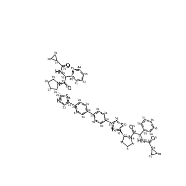 O=C(NC(C(=O)N1CCC[C@H]1c1nc(-c2ccc(-c3ccc(-c4cnc([C@@H]5CCCN5C(=O)C(NC(=O)C5CC5)c5ccccc5)s4)cc3)cc2)cs1)c1ccccc1)C1CC1